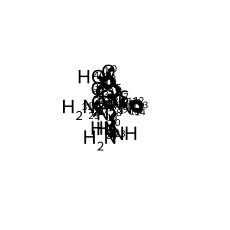 COc1cc(C=C2SC(=Nc3ccccc3)N([C@@H](CCCNC(=N)N)C(=O)N[C@@H](C)C(N)=O)C2=O)cc(OC)c1O